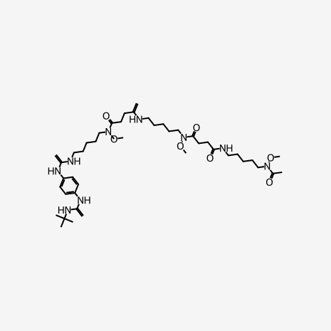 C=C(CCC(=O)N(CCCCCNC(=C)Nc1ccc(NC(=C)NC(C)(C)C)cc1)OC)NCCCCCN(OC)C(=O)CCC(=O)NCCCCCN(OC)C(C)=O